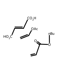 C=CC(=O)OCCCC.C=COC(C)=O.O=C(O)C=CC(=O)O